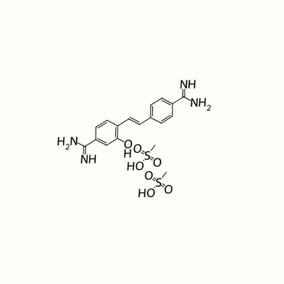 CS(=O)(=O)O.CS(=O)(=O)O.N=C(N)c1ccc(/C=C/c2ccc(C(=N)N)cc2O)cc1